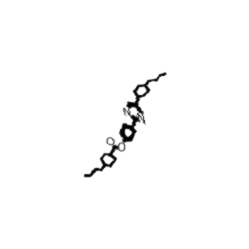 CCCCC1CCC(C(=O)Oc2ccc(-c3ncc(C4CCC(CCCC)CC4)cn3)cc2)CC1